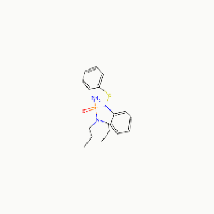 CCCN(CCC)P(N)(=O)N(Sc1ccccc1)c1ccccc1